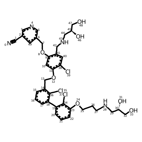 N#Cc1cncc(COc2cc(OCc3cccc(-c4cccc(OCCCNC[C@H](O)CO)c4Cl)c3Cl)c(Cl)cc2CNC[C@H](O)CO)c1